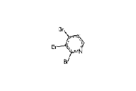 Brc1[c]cnc(Br)c1Br